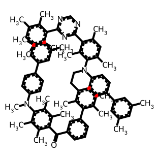 Cc1cc(C)cc(-c2ccc(N(C)c3c(C)c(C)c(C(=O)c4cccc(-c5c(C)c(C)cc(CCN(c6ccc(-c7cc(C)cc(C)c7)cc6)c6c(C)cc(C)c(-c7ncnc(-c8c(C)c(C)cc(C)c8C)n7)c6C)c5C)c4)c(C)c3C)cc2)c1